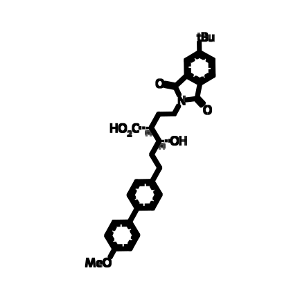 COc1ccc(-c2ccc(CC[C@@H](O)[C@@H](CCN3C(=O)c4ccc(C(C)(C)C)cc4C3=O)C(=O)O)cc2)cc1